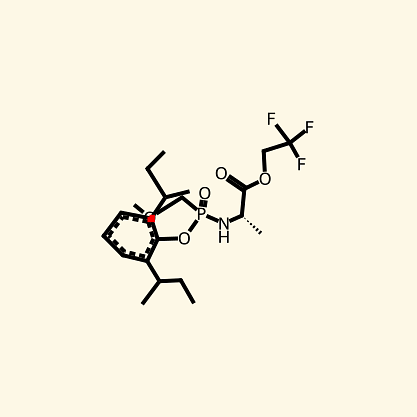 CCC(C)c1cccc(C(C)CC)c1OP(=O)(COC)N[C@@H](C)C(=O)OCC(F)(F)F